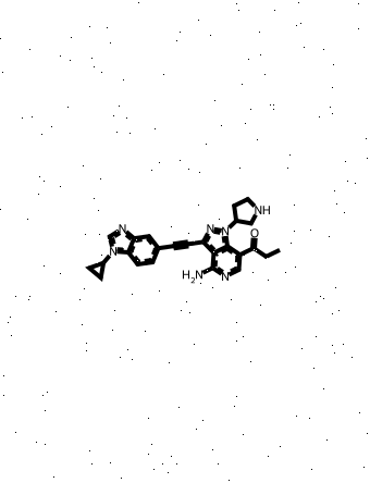 CCC(=O)c1cnc(N)c2c(C#Cc3ccc4c(c3)ncn4C3CC3)nn(C3CCNC3)c12